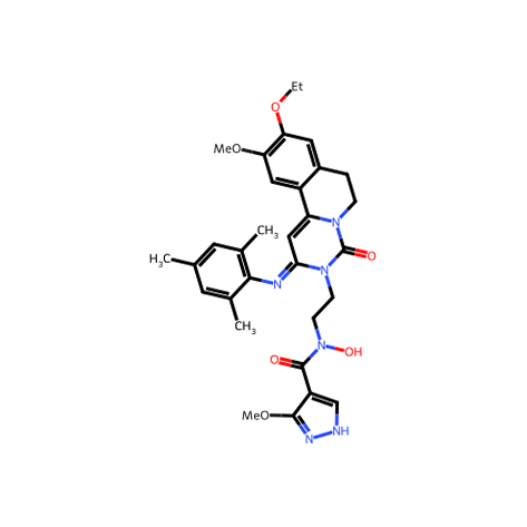 CCOc1cc2c(cc1OC)-c1c/c(=N\c3c(C)cc(C)cc3C)n(CCN(O)C(=O)c3c[nH]nc3OC)c(=O)n1CC2